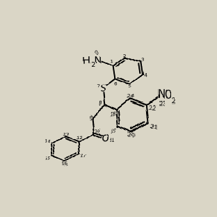 Nc1ccccc1SC(CC(=O)c1ccccc1)c1cccc([N+](=O)[O-])c1